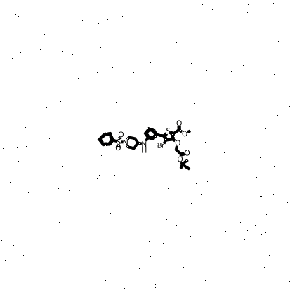 COC(=O)c1sc(-c2cccc(NC3CCN(S(=O)(=O)c4ccccc4)CC3)c2)c(Br)c1OCC(=O)OC(C)(C)C